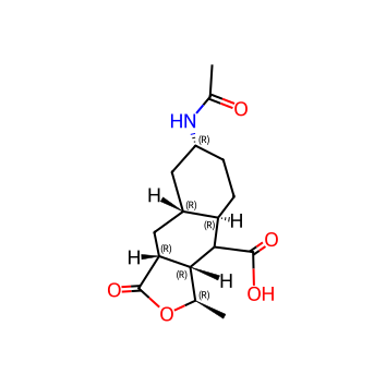 CC(=O)N[C@@H]1CC[C@H]2C(C(=O)O)[C@@H]3[C@@H](C)OC(=O)[C@@H]3C[C@@H]2C1